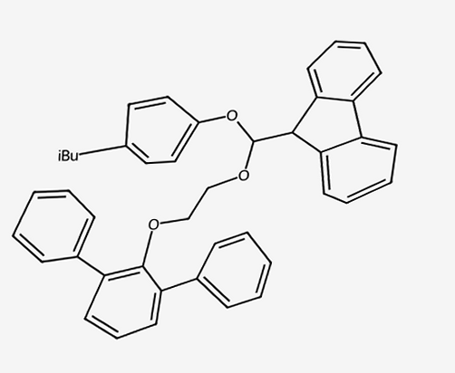 CCC(C)c1ccc(OC(OCCOc2c(-c3ccccc3)cccc2-c2ccccc2)C2c3ccccc3-c3ccccc32)cc1